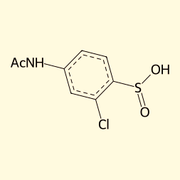 CC(=O)Nc1ccc(S(=O)O)c(Cl)c1